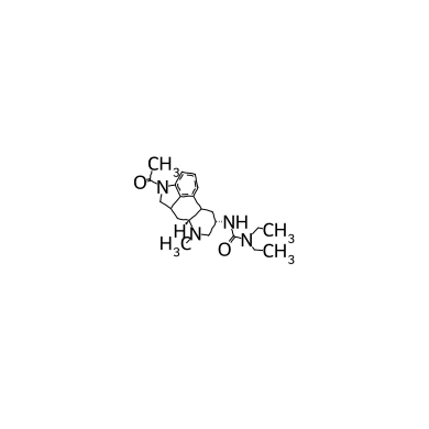 CCN(CC)C(=O)N[C@H]1CC2c3cccc4c3C(C[C@H]2N(C)C1)CN4C(C)=O